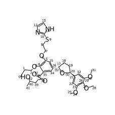 CCCOc1c(OCCSc2ncc[nH]2)cc([C@@H]2CC[C@@H](c3cc(OC)c(OC)c(OC)c3)O2)cc1S(=O)(=O)CC(C)O